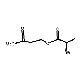 CCCCC(C)C(=O)OCCC(=O)OC